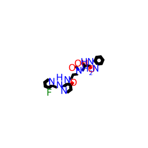 CC(CN(CCc1nc2c(NCc3ncccc3F)nccc2o1)C(=O)O)C(=O)Nc1ccccc1N